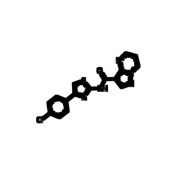 O=C(Nc1nc(-c2ccc(Cl)cc2)cs1)c1cnn2cccnc12